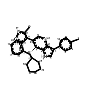 Cc1ccc(-c2c[nH]c3c([C@@H](c4ccccn4)C4CCCCC4)c(-c4c(C)noc4C)cnc23)cc1